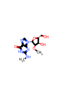 CNc1nc2c(ncn2[C@@H]2O[C@H](CO)[C@@H](O)[C@H]2OC)c(=O)[nH]1